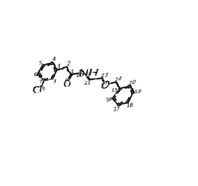 O=C(Cc1cccc(Cl)c1)NCCOCc1ccccc1